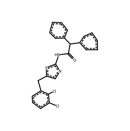 O=C(Nc1ncc(Cc2cccc(Cl)c2Cl)s1)C(c1ccccc1)c1ccccc1